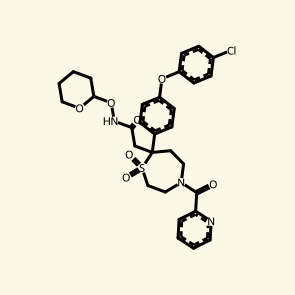 O=C(CC1(c2ccc(Oc3ccc(Cl)cc3)cc2)CCN(C(=O)c2ccccn2)CCS1(=O)=O)NOC1CCCCO1